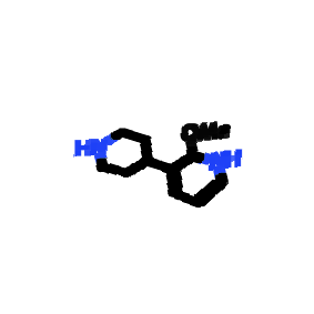 COC1NC=CC=C1C1CCNCC1